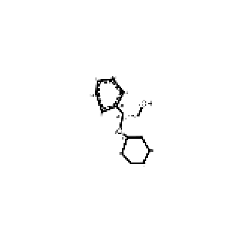 OC[C@H](OC1CCCCC1)c1ccccc1